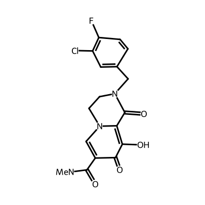 CNC(=O)c1cn2c(c(O)c1=O)C(=O)N(Cc1ccc(F)c(Cl)c1)CC2